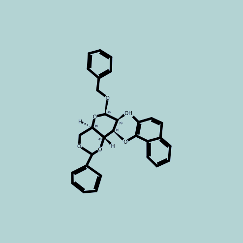 Cc1ccc2ccccc2c1O[C@@H]1[C@H](O)[C@H](OCc2ccccc2)O[C@@H]2COC(c3ccccc3)O[C@@H]12